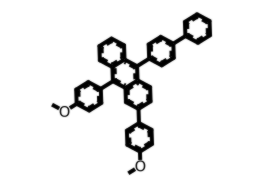 COc1ccc(-c2ccc3c(-c4ccc(-c5ccccc5)cc4)c4ccccc4c(-c4ccc(OC)cc4)c3c2)cc1